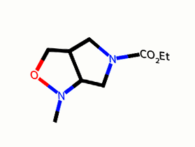 CCOC(=O)N1CC2CON(C)C2C1